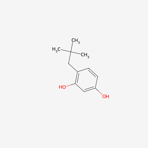 CC(C)(C)Cc1ccc(O)cc1O